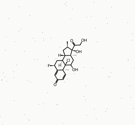 C[C@@H]1C[C@H]2[C@@H]3C[C@H](F)C4=CC(=O)C=C[C@]4(C)[C@@]3(Cl)C(O)C[C@]2(C)[C@@]1(O)C(=O)CO